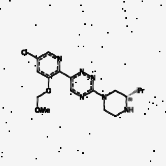 COCOc1cc(Cl)cnc1-c1cnc(N2CCN[C@@H](C(C)C)C2)nn1